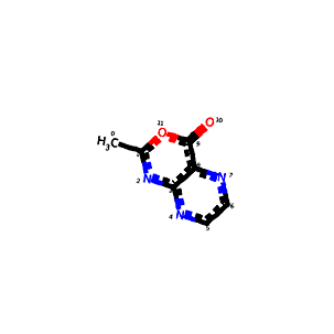 Cc1nc2nccnc2c(=O)o1